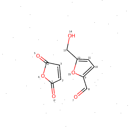 O=C1C=CC(=O)O1.O=Cc1ccc(CO)o1